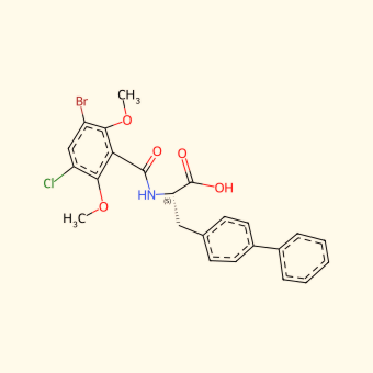 COc1c(Cl)cc(Br)c(OC)c1C(=O)N[C@@H](Cc1ccc(-c2ccccc2)cc1)C(=O)O